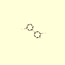 CC(=O)Nc1cccc(-c2ccc(Cl)c(N)c2)c1